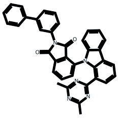 Cc1nc(C)nc(-c2cccc3c4ccccc4n(-c4cccc5c4C(=O)N(c4cccc(-c6ccccc6)c4)C5=O)c23)n1